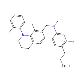 CCOC(=O)CCc1ccc(N(C)Cc2ccc3c(c2C)N(c2ccccc2C)CCC3)cc1F